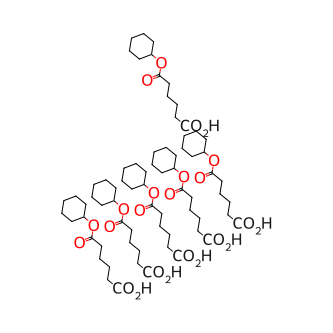 O=C(O)CCCCC(=O)OC1CCCCC1.O=C(O)CCCCC(=O)OC1CCCCC1.O=C(O)CCCCC(=O)OC1CCCCC1.O=C(O)CCCCC(=O)OC1CCCCC1.O=C(O)CCCCC(=O)OC1CCCCC1.O=C(O)CCCCC(=O)OC1CCCCC1